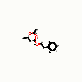 CCCC(OCCc1ccccc1)OC(C)=O